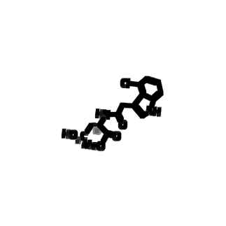 COC(=O)[C@H](CC(=O)O)NC(=O)Cc1c[nH]c2cccc(Cl)c12